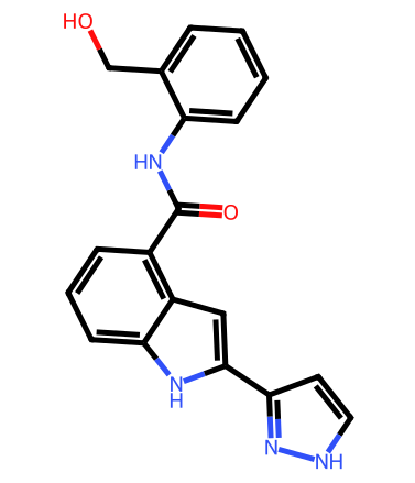 O=C(Nc1ccccc1CO)c1cccc2[nH]c(-c3cc[nH]n3)cc12